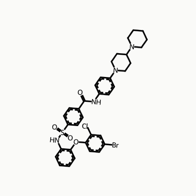 O=C(Nc1ccc(N2CCC(N3CCCCC3)CC2)cc1)c1ccc(S(=O)(=O)Nc2ccccc2Oc2ccc(Br)cc2Cl)cc1